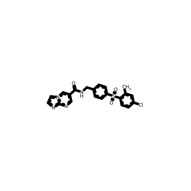 Cc1cc(Cl)ccc1S(=O)(=O)c1ccc(CNC(=O)c2cnc3nccn3c2)cc1